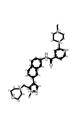 CN1CCN(c2cc(C(=O)Nc3ccc4ccc(-c5cnn(C)c5CN5CCOCC5)cc4c3)ccn2)CC1